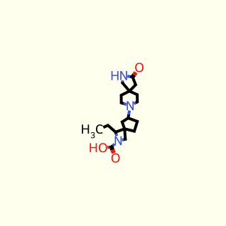 CCC1N(C(=O)O)CC12CCC(N1CCC3(CC1)CNC(=O)C3)C2